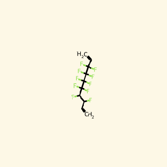 C=CC(F)C(F)C(F)(F)C(F)(F)C(F)(F)C(F)(F)C=C